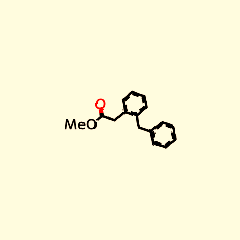 COC(=O)Cc1ccccc1Cc1ccccc1